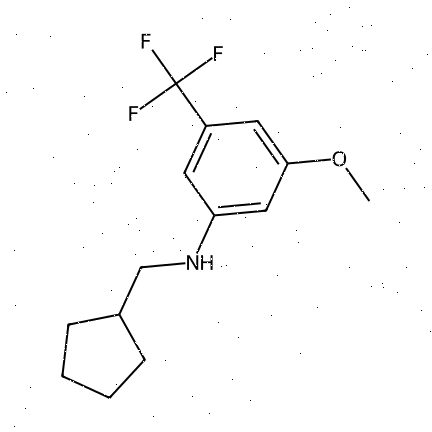 COc1cc(NCC2CCCC2)cc(C(F)(F)F)c1